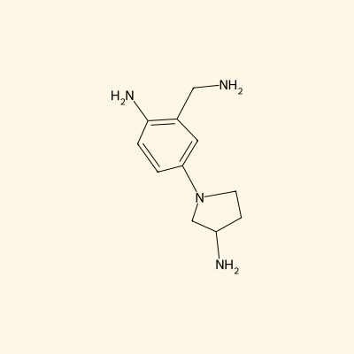 NCc1cc(N2CCC(N)C2)ccc1N